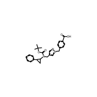 CC(C)(C)OC(=O)N(Cc1cnn(Cc2ccc(C(=O)O)cc2)c1)C1CC1c1ccccc1